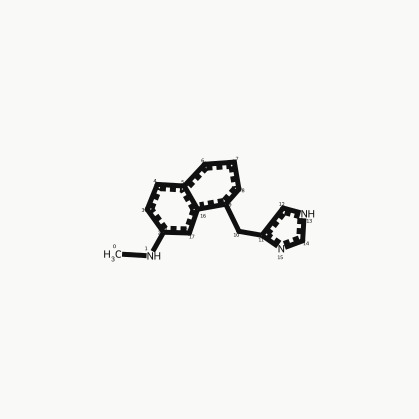 CNc1ccc2cccc(Cc3c[nH]cn3)c2c1